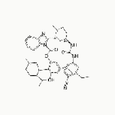 C=C(C)C1CCC(C)=CC1c1c(O)cc(CCCCC)cc1OC(=O)n1c([C@H]2C[C@H](NC(=O)Nc3ccc(C#N)cc3)CCN2C)nc2ccccc21